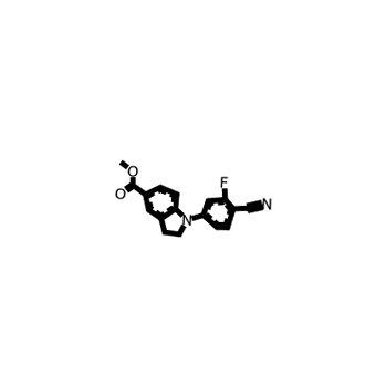 COC(=O)c1ccc2c(c1)CCN2c1ccc(C#N)c(F)c1